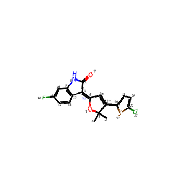 CC1(C)O/C(=C2/C(=O)Nc3cc(F)ccc32)C=C1c1ccc(Cl)s1